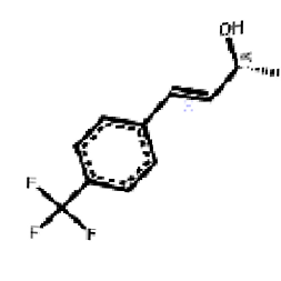 C[C@@H](O)/C=C/c1ccc(C(F)(F)F)cc1